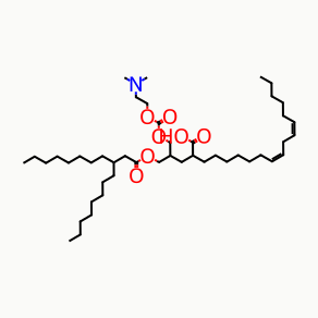 CCCCC/C=C\C/C=C\CCCCCCC(CC(COC(=O)CC(CCCCCCCC)CCCCCCCC)COC(=O)OCCN(C)C)C(=O)O